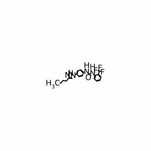 CCCCc1cn(-c2ccc(NC(=O)Nc3ccccc3C(F)(F)F)cc2)nn1